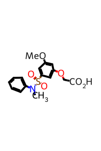 COc1cc(OCC(=O)O)cc(S(=O)(=O)N(C)c2ccccc2)c1